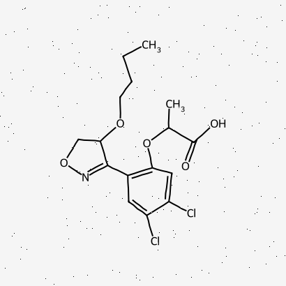 CCCCOC1CON=C1c1cc(Cl)c(Cl)cc1OC(C)C(=O)O